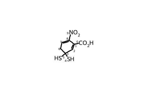 O=C(O)C1=CC(S)(S)CC=C1[N+](=O)[O-]